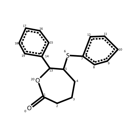 O=C1CCCC(Sc2ccccc2)C(c2ccccc2)O1